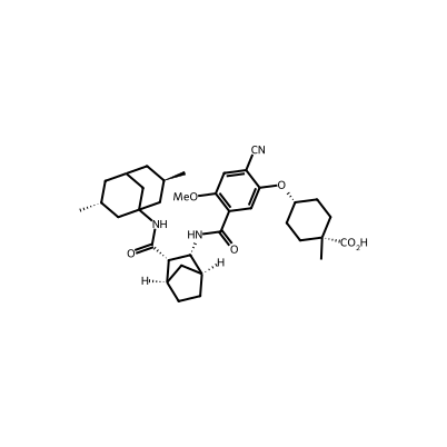 COc1cc(C#N)c(O[C@H]2CC[C@@](C)(C(=O)O)CC2)cc1C(=O)N[C@@H]1[C@H]2CC[C@H](C2)[C@@H]1C(=O)NC12CC(C[C@@H](C)C1)C[C@@H](C)C2